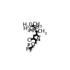 C[C@@H](N[S@+]([O-])C(C)(C)C)c1cnc(COCC(F)(F)F)c(Cl)c1